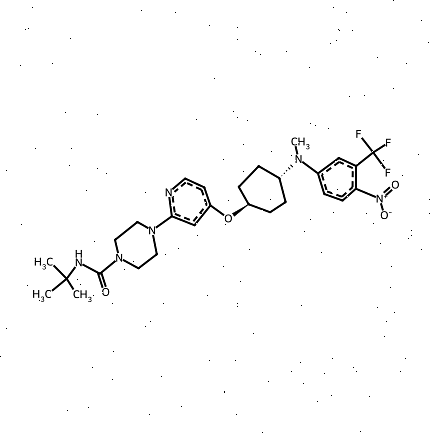 CN(c1ccc([N+](=O)[O-])c(C(F)(F)F)c1)[C@H]1CC[C@H](Oc2ccnc(N3CCN(C(=O)NC(C)(C)C)CC3)c2)CC1